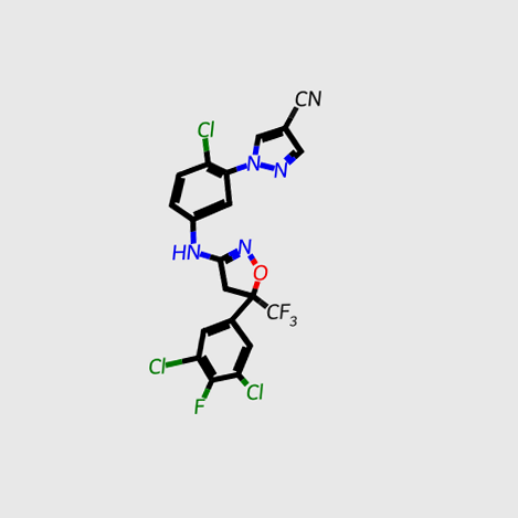 N#Cc1cnn(-c2cc(NC3=NOC(c4cc(Cl)c(F)c(Cl)c4)(C(F)(F)F)C3)ccc2Cl)c1